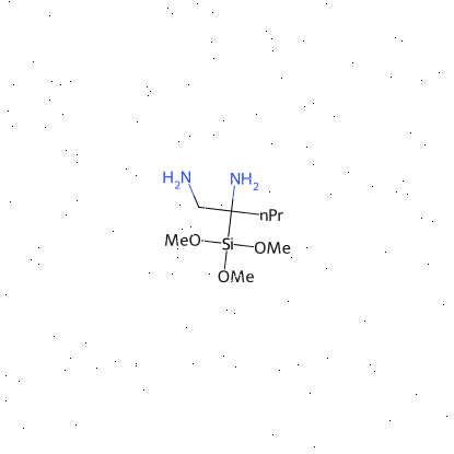 CCCC(N)(CN)[Si](OC)(OC)OC